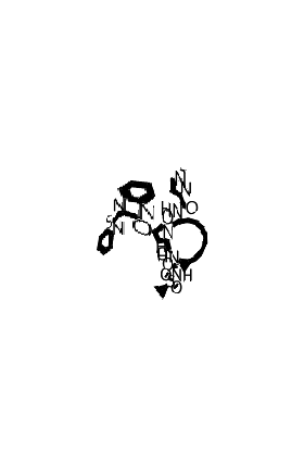 Cn1ccc(C(=O)NC2CCCCC/C=C\C3C[C@@]3(C(=O)NS(=O)(=O)C3CC3)NC(=O)[C@@H]3C[C@@H](Oc4nc5ccccc5nc4-c4nc5ccccc5s4)CN3C2=O)n1